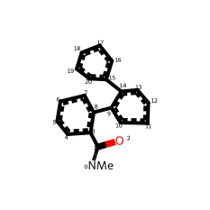 CNC(=O)c1ccccc1-c1ccccc1-c1ccccc1